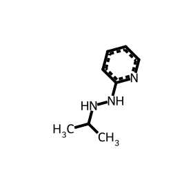 CC(C)NNc1ccccn1